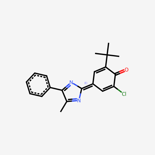 CC1=N/C(=C2\C=C(Cl)C(=O)C(C(C)(C)C)=C2)N=C1c1ccccc1